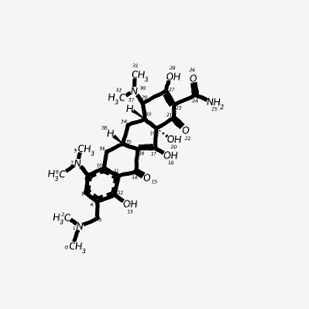 CN(C)Cc1cc(N(C)C)c2c(c1O)C(=O)C1=C(O)[C@]3(O)C(=O)C(C(N)=O)=C(O)C(N(C)C)[C@H]3C[C@H]1C2